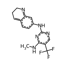 CNc1nc(Nc2ccc3c(c2)=NCCC=3)ncc1C(F)(F)F